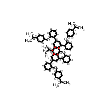 C=C(c1cc(-c2ccccc2Oc2ccc(C(C)C)cc2)cc(-c2ccccc2Oc2ccc(C(C)C)cc2)c1)c1cc(-c2ccccc2Oc2ccc(C(C)C)cc2)cc(-c2ccccc2Oc2ccc(C(C)C)cc2)c1